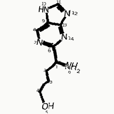 NC(CCCO)c1ncc2[nH]cnc2n1